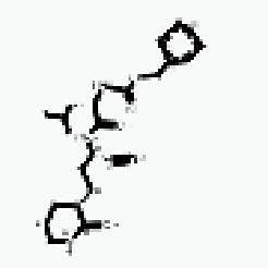 CC(C)C[C@H](NC(=O)OCc1ccccc1)C(=O)N[C@H](C#N)CC[C@@H]1CCCNC1=O